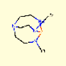 CC(C)N1CCN2CCNP1N(C(C)C)CC2